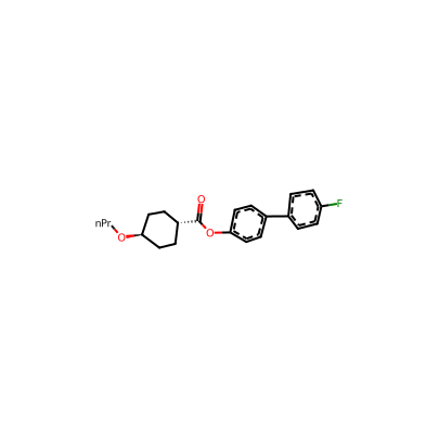 CCCO[C@H]1CC[C@H](C(=O)Oc2ccc(-c3ccc(F)cc3)cc2)CC1